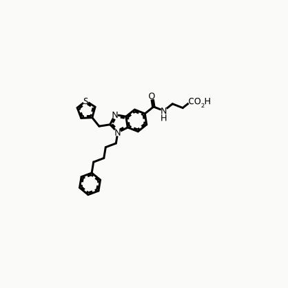 O=C(O)CCNC(=O)c1ccc2c(c1)nc(Cc1ccsc1)n2CCCCc1ccccc1